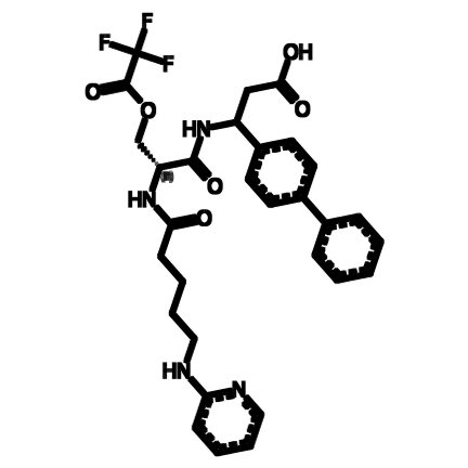 O=C(O)CC(NC(=O)[C@@H](COC(=O)C(F)(F)F)NC(=O)CCCCNc1ccccn1)c1ccc(-c2ccccc2)cc1